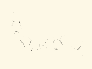 COc1ccc(-c2ccc3c(c2)C(C)N(S(=O)(=O)c2ccc(OCC(=O)O)c(C)c2)CC3(C)C)cc1